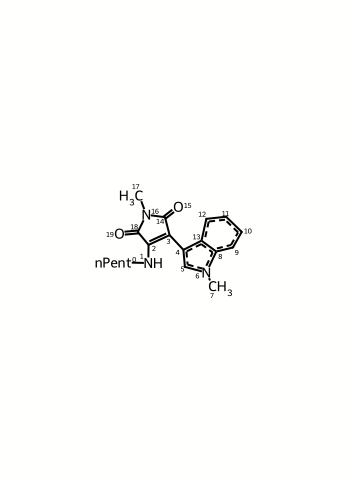 CCCCCNC1=C(c2cn(C)c3ccccc23)C(=O)N(C)C1=O